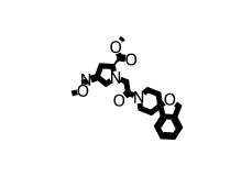 CON=C1C[C@@H](C(=O)OC)N(CC(=O)N2CCC3(CC2)OCc2ccccc23)C1